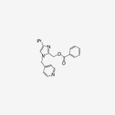 CC(C)c1cn(Cc2ccncc2)c(COC(=O)c2ccccc2)n1